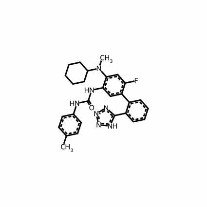 Cc1ccc(NC(=O)Nc2cc(-c3ccccc3-c3nnn[nH]3)c(F)cc2N(C)C2CCCCC2)cc1